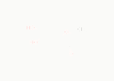 CC1=CC(=O)CC(c2ccc(O)c(O)c2)O1